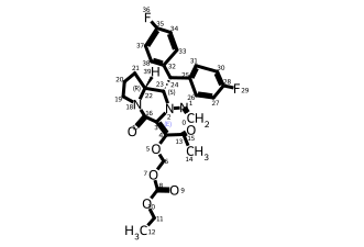 C=NN1/C(=C(/OCOC(=O)OCC)C(C)=O)C(=O)N2CCC[C@@H]2[C@@H]1C(c1ccc(F)cc1)c1ccc(F)cc1